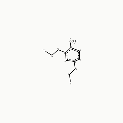 O=C(O)c1ccc(CCF)cc1CCF